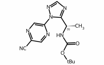 C[C@H](NC(=O)OC(C)(C)C)c1ncnn1-c1cnc(C#N)cn1